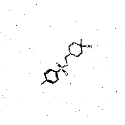 Cc1ccc(S(=O)(=O)OCC2CCC(C)(O)CC2)cc1